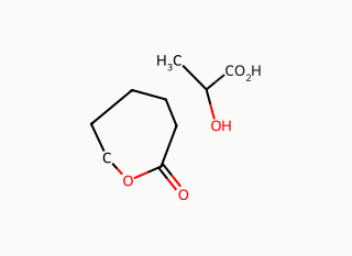 CC(O)C(=O)O.O=C1CCCCCO1